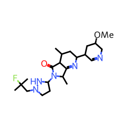 COC1CN=CC(C2CC(C)C3C(=O)N(C4CCN(CC(C)(C)F)N4)C(C)C3=N2)C1